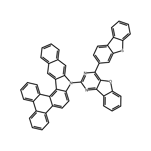 c1ccc2cc3c(cc2c1)c1c2c4ccccc4c4ccccc4c2ccc1n3-c1nc(-c2ccc3c(c2)sc2ccccc23)c2oc3ccccc3c2n1